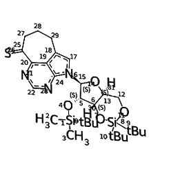 CC(C)(C)[Si](C)(C)O[C@H]1[C@H]2O[Si](C(C)(C)C)(C(C)(C)C)OC[C@@H]2O[C@@H]1n1cc2c3c(ncnc31)C(=S)CCC2